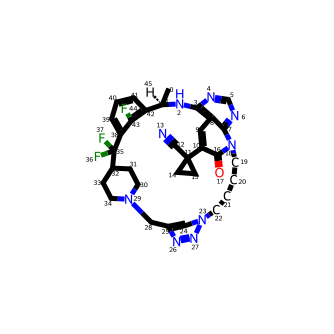 C[C@H]1Nc2ncnc3c2cc(C2(C#N)CC2)c(=O)n3CCCCn2cc(nn2)CN2CCC(CC2)C(F)(F)c2cccc1c2F